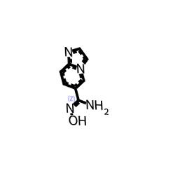 N/C(=N\O)c1ccc2nccn2c1